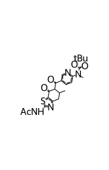 CC(=O)Nc1nc2c(s1)C(=O)C(C(=O)c1ccc(N(C)C(=O)OC(C)(C)C)nc1)C(C)C2